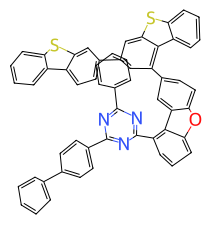 c1ccc(-c2ccc(-c3nc(-c4ccccc4)nc(-c4cccc5oc6ccc(-c7cc(-c8ccc9c(c8)sc8ccccc89)cc8sc9ccccc9c78)cc6c45)n3)cc2)cc1